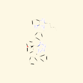 CCCCc1nc2cccnc2n1Cc1ccc(-c2ccccc2-c2nnnn2C(c2ccccc2)(c2ccccc2)c2ccccc2)cc1